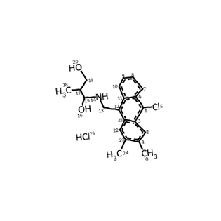 Cc1cc2c(Cl)c3ccccc3c(CNC(O)C(C)CO)c2cc1C.Cl